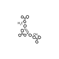 Cc1cc(N(c2ccccc2)c2ccccc2)ccc1-c1ccc(C(=O)c2cccc(N(c3ccccc3)c3cccc(C(=O)c4ccc(-c5ccc(N(c6ccccc6)c6ccccc6)cc5C)cc4)c3)c2)cc1